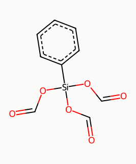 O=CO[Si](OC=O)(OC=O)c1ccccc1